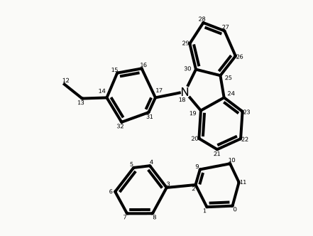 C1=CC(c2ccccc2)=CCC1.CCc1ccc(-n2c3ccccc3c3ccccc32)cc1